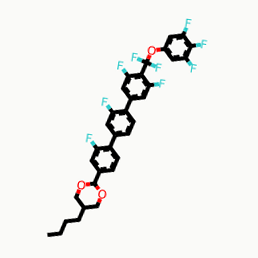 CCCCC1COC(c2ccc(-c3ccc(-c4cc(F)c(C(F)(F)Oc5cc(F)c(F)c(F)c5)c(F)c4)c(F)c3)c(F)c2)OC1